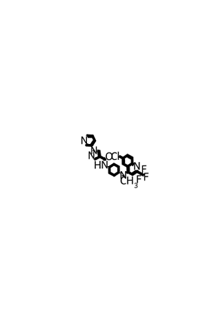 CN(c1cc(C(F)(F)F)nc2ccc(Cl)cc12)[C@H]1CC[C@@H](NC(=O)c2cnn(-c3cccnc3)c2)CC1